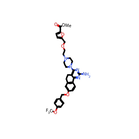 COC(=O)c1ccc(COCCN2CCN(c3nc(N)nc4c3CCc3cc(OCc5ccc(OC(F)(F)F)cc5)ccc3-4)CC2)o1